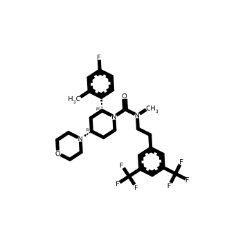 Cc1cc(F)ccc1[C@H]1C[C@@H](N2CCOCC2)CCN1C(=O)N(C)CCc1cc(C(F)(F)F)cc(C(F)(F)F)c1